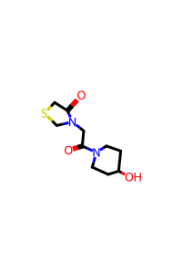 O=C(CN1CSCC1=O)N1CCC(O)CC1